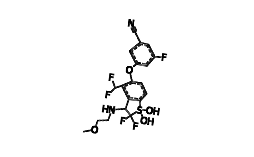 COCCNC1c2c(ccc(Oc3cc(F)cc(C#N)c3)c2C(F)F)S(O)(O)C1(F)F